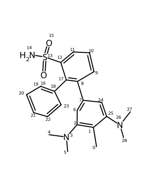 Cc1c(N(C)C)cc(-c2cccc(S(N)(=O)=O)c2-c2ccccc2)cc1N(C)C